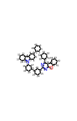 c1ccc(-c2ccc3c(c2)c2ccccc2n3-c2cccc(-c3cccc(-c4nc(-c5ccccc5)c5c(n4)oc4ccccc45)c3)c2)cc1